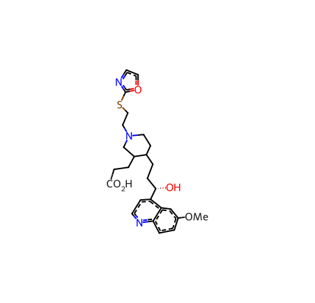 COc1ccc2nccc([C@@H](O)CCC3CCN(CCSc4ncco4)CC3CCC(=O)O)c2c1